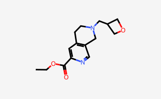 CCOC(=O)c1cc2c(cn1)CN(CC1COC1)CC2